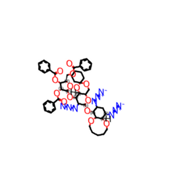 [N-]=[N+]=NC1C[C@@H](N=[N+]=[N-])[C@H]2OCCCCCOC2[C@@H]1O[C@H]1OC2COC3(CCCCC3)O[C@H]2[C@H](O[C@@H]2O[C@H](COC(=O)c3ccccc3)C(OC(=O)c3ccccc3)[C@@H]2OC(=O)c2ccccc2)C1N=[N+]=[N-]